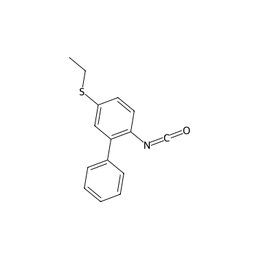 CCSc1ccc(N=C=O)c(-c2ccccc2)c1